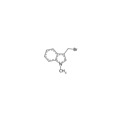 Cn1cc(CBr)c2ccccc21